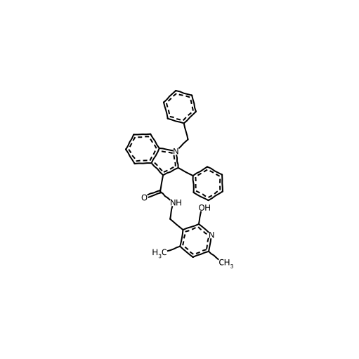 Cc1cc(C)c(CNC(=O)c2c(-c3ccccc3)n(Cc3ccccc3)c3ccccc23)c(O)n1